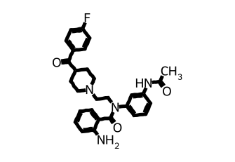 CC(=O)Nc1cccc(N(CCN2CCC(C(=O)c3ccc(F)cc3)CC2)C(=O)c2ccccc2N)c1